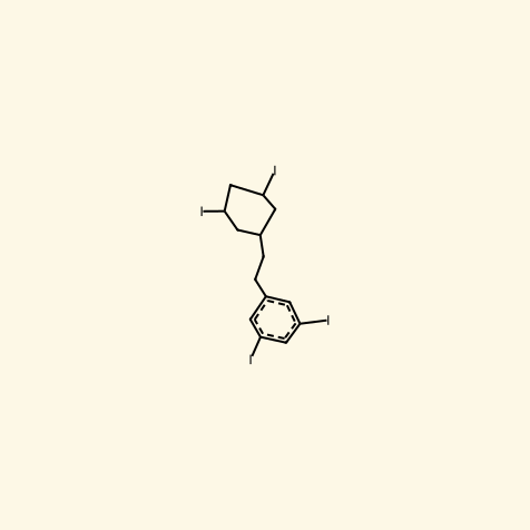 Ic1cc(I)cc(CCC2CC(I)CC(I)C2)c1